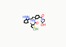 Cc1ccsc1C(=O)Nc1cc(C(=O)N2CCC(O)C2)ccc1/C=C/c1n[nH]c2ccccc12.Cl